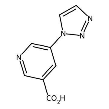 O=C(O)c1cncc(-n2ccnn2)c1